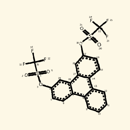 O=S(=O)(Oc1ccc2c3ccccc3c3ccc(OS(=O)(=O)C(F)(F)F)cc3c2c1)C(F)(F)F